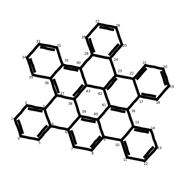 c1ccc2c(c1)c1ccc3c4ccccc4c4c5ccccc5c5c6ccccc6c6c7ccccc7c2c2c1c3c4c5c62